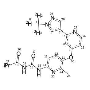 [2H]C([2H])([2H])n1cc(-c2cc(Oc3ccc(NC(=O)NC(=O)C(C)C)nc3C)ccn2)cn1